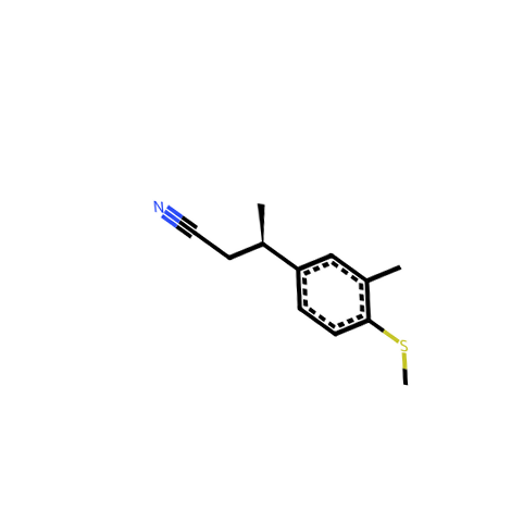 CSc1ccc([C@H](C)CC#N)cc1C